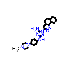 CN1CCN(c2ccc(Nc3nc(N)n(-c4cc5c(nn4)-c4ccccc4CC5)n3)cc2)CC1